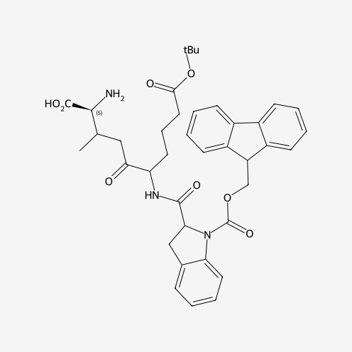 CC(CC(=O)C(CCCC(=O)OC(C)(C)C)NC(=O)C1Cc2ccccc2N1C(=O)OCC1c2ccccc2-c2ccccc21)[C@H](N)C(=O)O